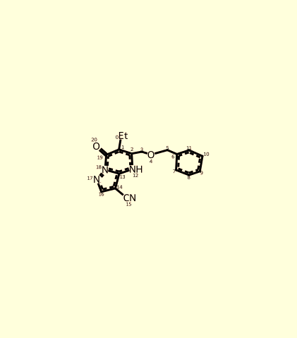 CCc1c(COCc2ccccc2)[nH]c2c(C#N)cnn2c1=O